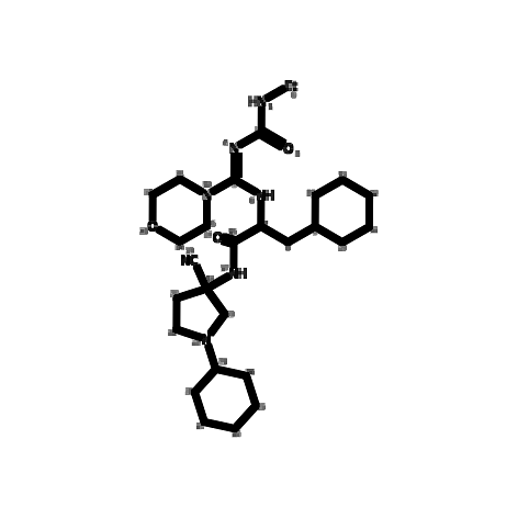 CCNC(=O)/N=C(\NC(CC1CCCCC1)C(=O)NC1(C#N)CCN(C2CCCCC2)C1)N1CCOCC1